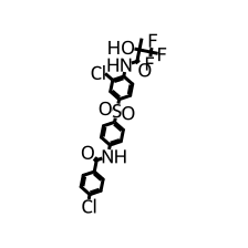 CC(O)(C(=O)Nc1ccc(S(=O)(=O)c2ccc(NC(=O)c3ccc(Cl)cc3)cc2)cc1Cl)C(F)(F)F